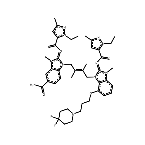 CCn1nc(C)cc1C(=O)/N=c1\n(C)c2cc(C(N)=O)ccc2n1C/C(C)=C(\C)Cn1/c(=N/C(=O)c2cc(C)nn2CC)n(C)c2cccc(OCCCN3CCC(F)(F)CC3)c21